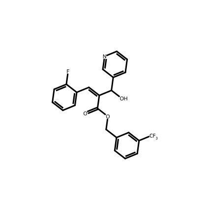 O=C(OCc1cccc(C(F)(F)F)c1)/C(=C\c1ccccc1F)C(O)c1cccnc1